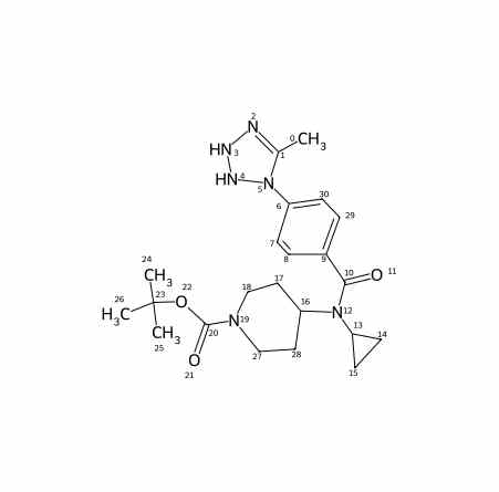 CC1=NNNN1c1ccc(C(=O)N(C2CC2)C2CCN(C(=O)OC(C)(C)C)CC2)cc1